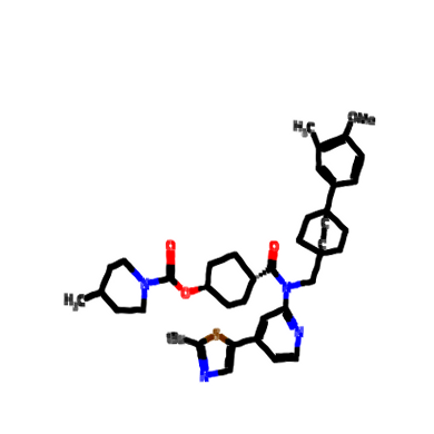 COc1ccc(C23CCC(CN(c4cc(-c5cnc(C(C)(C)C)s5)ccn4)C(=O)[C@H]4CC[C@H](OC(=O)N5CCC(C)CC5)CC4)(CC2)CC3)cc1C